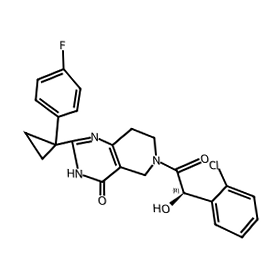 O=C([C@H](O)c1ccccc1Cl)N1CCc2nc(C3(c4ccc(F)cc4)CC3)[nH]c(=O)c2C1